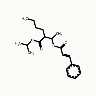 CCCCC(C(=O)OC(C)C)C(C)OC(=O)/C=C/c1ccccc1